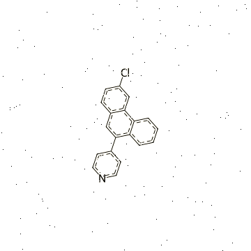 Clc1ccc2cc(-c3ccncc3)c3ccccc3c2c1